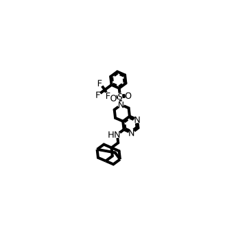 O=S(=O)(c1ccccc1C(F)(F)F)N1CCc2c(ncnc2NCC23CC4CC(CC(C4)C2)C3)C1